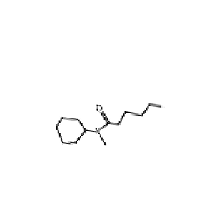 [CH2]CCCCC(=O)N(C)C1CCCCC1